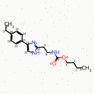 CCCCOC(=O)NCCc1nc(-c2ccc(CC)cc2)c[nH]1